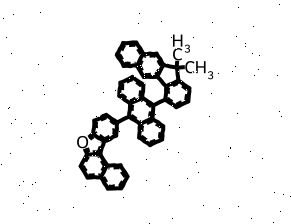 CC1(C)c2cc3ccccc3cc2-c2c(-c3c4ccccc4c(-c4ccc5oc6ccc7ccccc7c6c5c4)c4ccccc34)cccc21